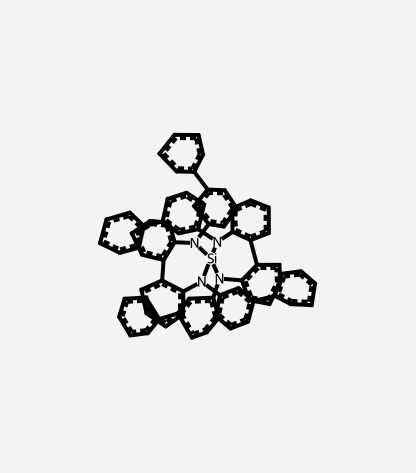 c1ccc(-c2cccc(N3c4ccccc4-c4ccccc4N(c4cccc(-c5ccccc5)c4)[Si]34N(c3cccc(-c5ccccc5)c3)c3ccccc3-c3ccccc3N4c3cccc(-c4ccccc4)c3)c2)cc1